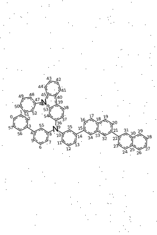 c1ccc(-c2cccc(N(c3cccc(-c4ccc5ccc(-c6ccc7ccccc7c6)cc5c4)c3)c3ccc4c5ccccc5n(-c5ccccc5)c4c3)c2)cc1